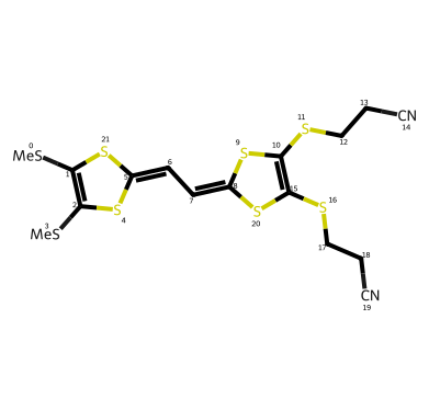 CSC1=C(SC)SC(=CC=C2SC(SCCC#N)=C(SCCC#N)S2)S1